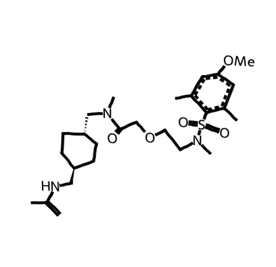 C=C(C)NC[C@H]1CC[C@H](CN(C)C(=O)COCCN(C)S(=O)(=O)c2c(C)cc(OC)cc2C)CC1